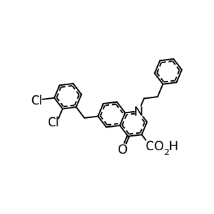 O=C(O)c1cn(CCc2ccccc2)c2ccc(Cc3cccc(Cl)c3Cl)cc2c1=O